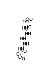 O=C(CCN1C(=O)C=CC1=O)NCCNCCNCCNCCNC(=O)CCN1C(=O)C=CC1=O